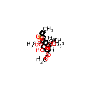 COCO[C@H]1C[C@H]2OC(C)(C)OC[C@]23C2C(CC[C@]3(O)C1)[C@@]1(OCOC)CC[C@@H](Cc3cc(C)ccc3S(=O)(=O)O)[C@@]1(C)C[C@H]2OCOC